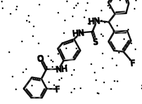 O=C(Nc1ccc(NC(=S)NC(c2ccccc2)c2ccc(F)cc2)cc1)c1ccccc1F